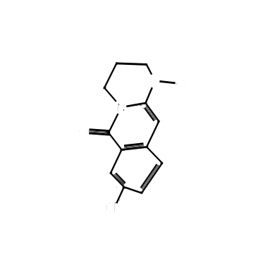 O=c1c2cc(Cl)ccc2cc2n1CCC[S+]2[O-]